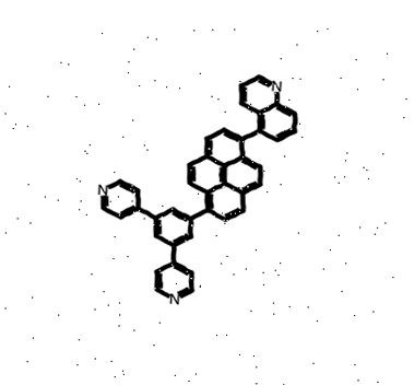 c1cc(-c2ccc3ccc4c(-c5cc(-c6ccncc6)cc(-c6ccncc6)c5)ccc5ccc2c3c54)c2cccnc2c1